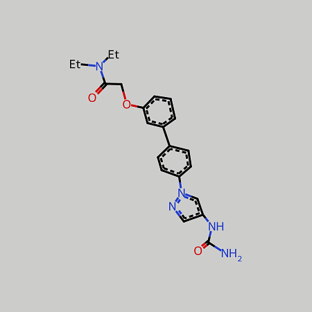 CCN(CC)C(=O)COc1cccc(-c2ccc(-n3cc(NC(N)=O)cn3)cc2)c1